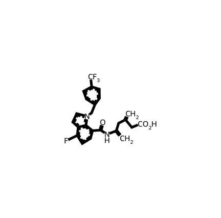 C=C(CC(=C)NC(=O)c1ccc(F)c2ccn(Cc3ccc(C(F)(F)F)cc3)c12)CC(=O)O